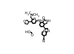 CN(C)Cc1nc(Nc2ccc(-c3cnc4cc(C#N)ccn34)c3c2C(=O)NC3)ccc1C1CCOC1.O=CO